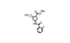 Cc1ccccc1C(=O)N[C@H]1C[C@@H](C(=O)O)N(C(=O)OC(C)(C)C)C1